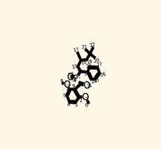 COc1cccc(OC)c1C(=O)[P](=O)C(CC(C)CC(C)(C)C)c1ccccc1